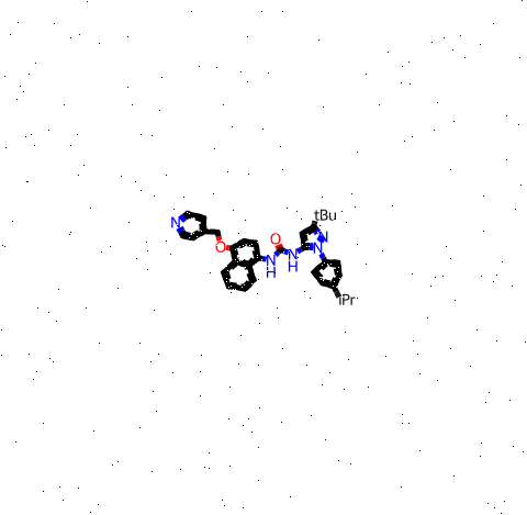 CC(C)c1ccc(-n2nc(C(C)(C)C)cc2NC(=O)Nc2ccc(OCc3ccncc3)c3ccccc23)cc1